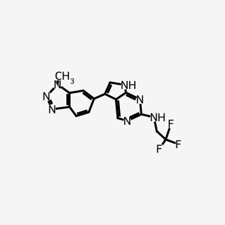 Cn1nnc2ccc(-c3c[nH]c4nc(NCC(F)(F)F)ncc34)cc21